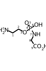 NCCOP(=O)(O)NCC(=O)O